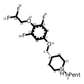 CCCCC[Si@H]1CC[C@H](COc2cc(F)c(OCC(F)F)c(F)c2)CC1